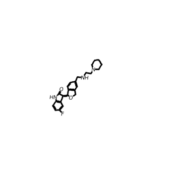 O=C1Nc2ccc(F)cc2/C1=C1\OCc2cc(CNCCN3CCCCC3)ccc21